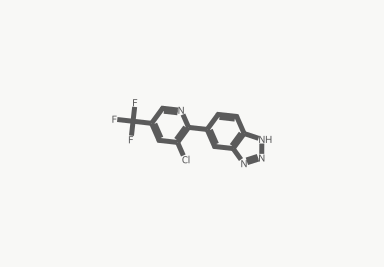 FC(F)(F)c1cnc(-c2ccc3[nH]nnc3c2)c(Cl)c1